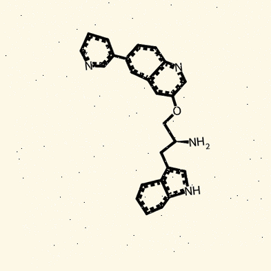 N[C@H](COc1cnc2ccc(-c3cccnc3)cc2c1)Cc1c[nH]c2ccccc12